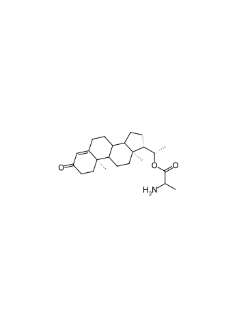 CC(N)C(=O)O[C@@H](C)[C@H]1CCC2C3CCC4=CC(=O)CC[C@]4(C)C3CC[C@@]21C